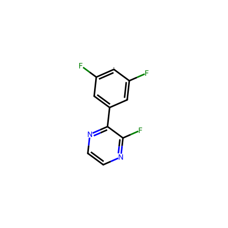 Fc1[c]c(F)cc(-c2nccnc2F)c1